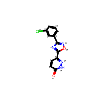 O=c1ccc(-c2nc(-c3cccc(Cl)c3)no2)n[nH]1